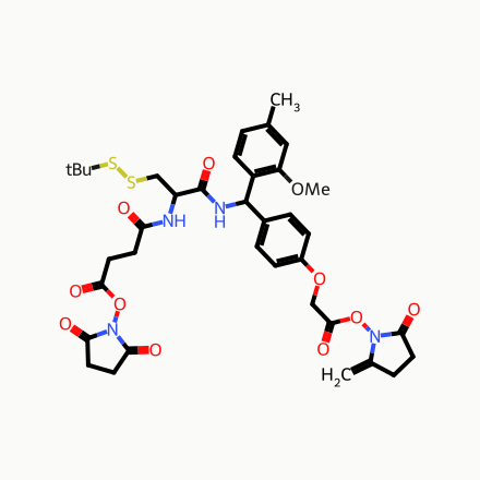 C=C1CCC(=O)N1OC(=O)COc1ccc(C(NC(=O)C(CSSC(C)(C)C)NC(=O)CCC(=O)ON2C(=O)CCC2=O)c2ccc(C)cc2OC)cc1